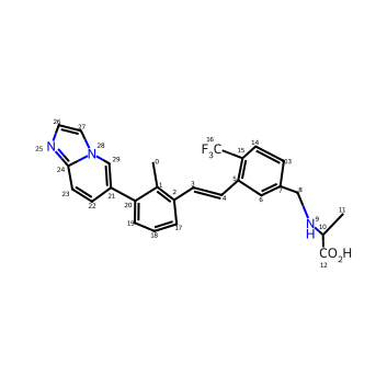 Cc1c(/C=C/c2cc(CNC(C)C(=O)O)ccc2C(F)(F)F)cccc1-c1ccc2nccn2c1